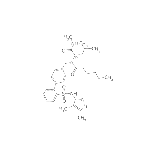 CCCCCC(=O)N(Cc1ccc(-c2ccccc2S(=O)(=O)Nc2noc(C)c2C)cc1)[C@@H](CC(C)C)C(=O)NC